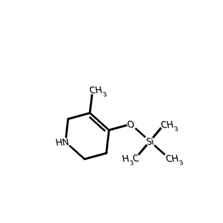 CC1=C(O[Si](C)(C)C)CCNC1